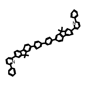 CC1(C)c2cc(-c3ccc(-c4ccc(-c5ccc6c(c5)C(C)(C)c5cc(-c7cccc(-c8ccccc8)n7)ccc5-6)cc4)cc3)ccc2-c2ccc(-c3cccc(-c4ccccc4)n3)cc21